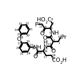 CC(C)CC(C(=O)NC(CC(=O)O)C(=O)CF)C(=O)NC(CCC(=O)O)C(=O)Nc1cccc(Oc2ccccc2)c1